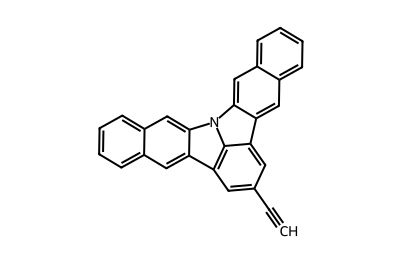 C#Cc1cc2c3cc4ccccc4cc3n3c4cc5ccccc5cc4c(c1)c23